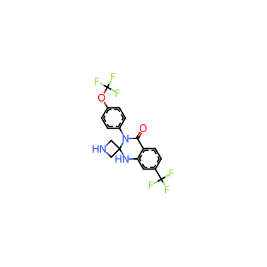 O=C1c2ccc(C(F)(F)F)cc2NC2(CNC2)N1c1ccc(OC(F)(F)F)cc1